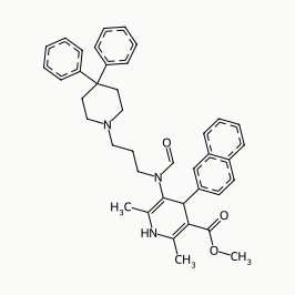 COC(=O)C1=C(C)NC(C)=C(N(C=O)CCCN2CCC(c3ccccc3)(c3ccccc3)CC2)C1c1ccc2ccccc2c1